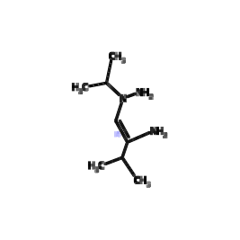 CC(C)/C(N)=C/N(N)C(C)C